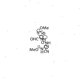 CO[C@H]1CCN(Cc2cc3c(nc2C=O)N(C(=O)Nc2cc(N[C@@H]4CC[C@H]4OC)c(C#N)cn2)CCC3)C1=C=O